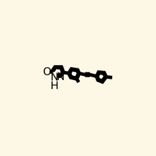 Cc1ccc(C#Cc2ccc(-c3ccc(=O)[nH]n3)cc2C)cc1